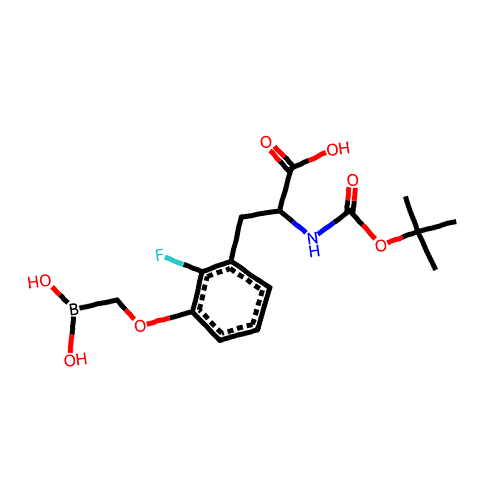 CC(C)(C)OC(=O)NC(Cc1cccc(OCB(O)O)c1F)C(=O)O